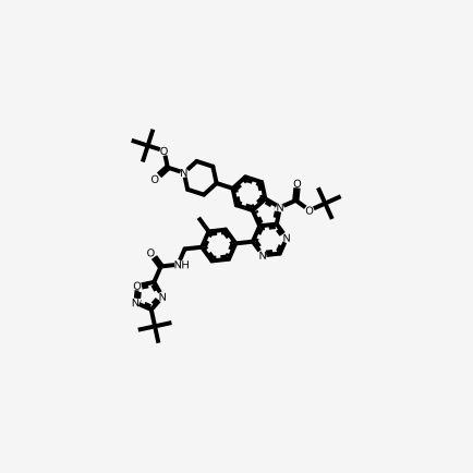 Cc1cc(-c2ncnc3c2c2cc(C4CCN(C(=O)OC(C)(C)C)CC4)ccc2n3C(=O)OC(C)(C)C)ccc1CNC(=O)c1nc(C(C)(C)C)no1